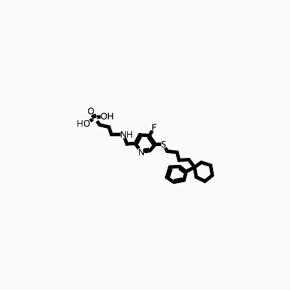 O=P(O)(O)CCCNCc1cc(F)c(SCCCCC2(c3ccccc3)CCCCC2)cn1